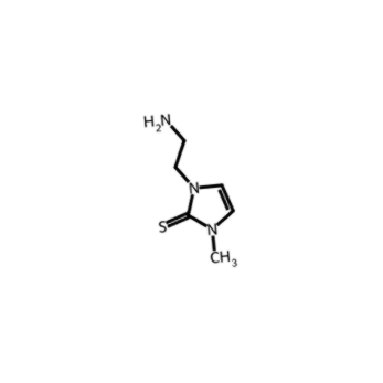 Cn1ccn(CCN)c1=S